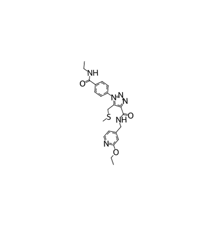 CCNC(=O)c1ccc(-n2nnc(C(=O)NCc3ccnc(OCC)c3)c2CSC)cc1